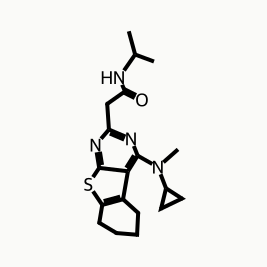 CC(C)NC(=O)Cc1nc(N(C)C2CC2)c2c3c(sc2n1)CCCC3